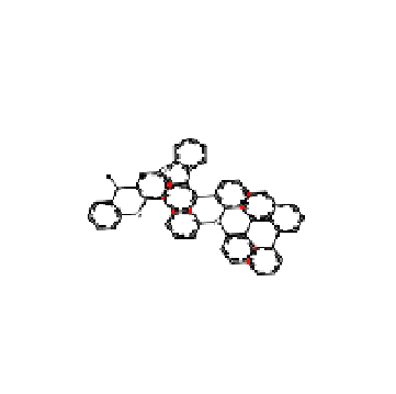 C[C@@H]1c2ccccc2Sc2c(-c3cccc(N(c4ccccc4-c4cccc5cccc(-c6ccccc6)c45)c4ccccc4-c4cccc5oc6ccccc6c45)c3)cccc21